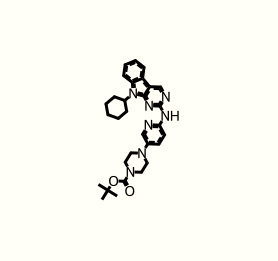 CC(C)(C)OC(=O)N1CCN(c2ccc(Nc3ncc4c5ccccc5n(C5CCCCC5)c4n3)nc2)CC1